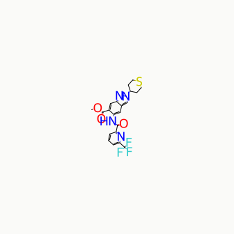 COC(=O)c1cc2nn(C3CCSCC3)cc2cc1NC(=O)c1cccc(C(F)(F)F)n1